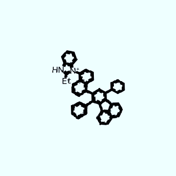 CCc1[nH]c2ccccc2[n+]1-c1cccc2c(-c3cc(-c4ccccc4)c4c(c3-c3ccccc3)-c3cccc5cccc-4c35)cccc12